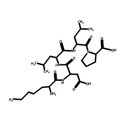 CC(C)CC(NC(=O)C(CC(=O)O)NC(=O)C(N)CCCCN)C(=O)NC(CC(C)C)C(=O)N1CCCC1C(=O)O